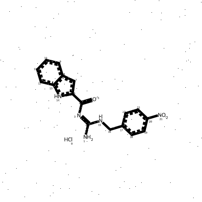 Cl.NC(=NC(=O)c1cc2ccccc2[nH]1)NCc1ccc([N+](=O)[O-])cc1